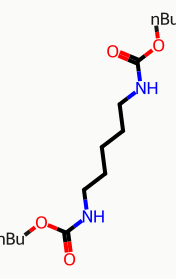 CCCCOC(=O)NCCCCCNC(=O)OCCCC